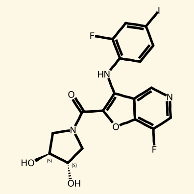 O=C(c1oc2c(F)cncc2c1Nc1ccc(I)cc1F)N1C[C@H](O)[C@@H](O)C1